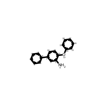 Nc1cc(-c2ccccc2)ccc1Oc1ccccc1